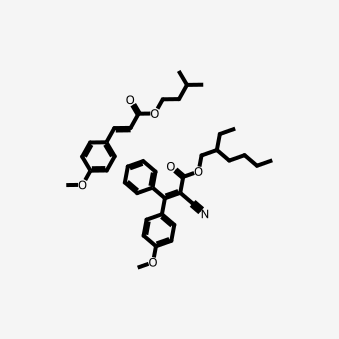 CCCCC(CC)COC(=O)C(C#N)=C(c1ccccc1)c1ccc(OC)cc1.COc1ccc(C=CC(=O)OCCC(C)C)cc1